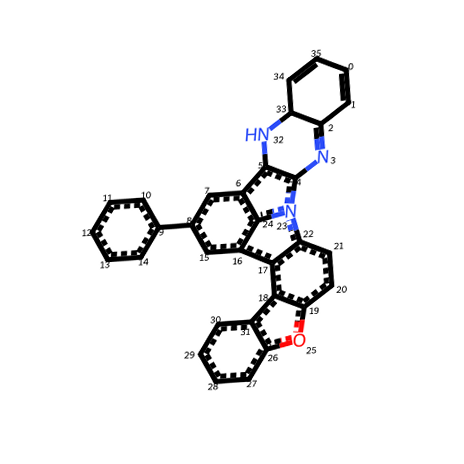 C1=CC2=Nc3c(c4cc(-c5ccccc5)cc5c6c7c(ccc6n3c45)oc3ccccc37)NC2C=C1